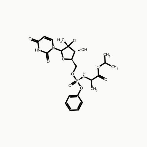 CC(C)OC(=O)[C@@H](C)N[P@@](=O)(OC[C@H]1OC(n2ccc(=O)[nH]c2=O)[C@](C)(Cl)[C@@H]1O)Oc1ccccc1